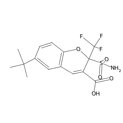 CC(C)(C)c1ccc2c(c1)C=C(C(=O)O)C(C(F)(F)F)(S(N)(=O)=O)O2